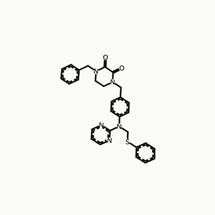 O=C1C(=O)N(Cc2ccc(N(CSc3ccccc3)c3ncccn3)cc2)CCN1Cc1ccccc1